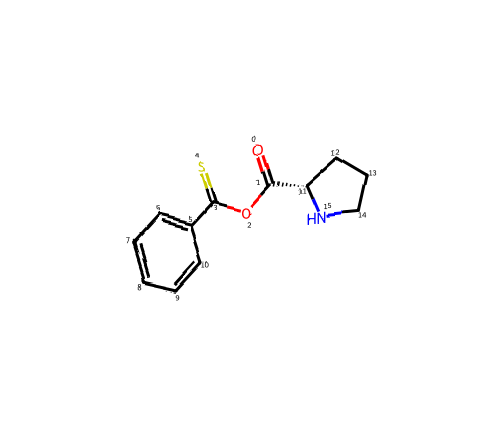 O=C(OC(=S)c1ccccc1)[C@@H]1CCCN1